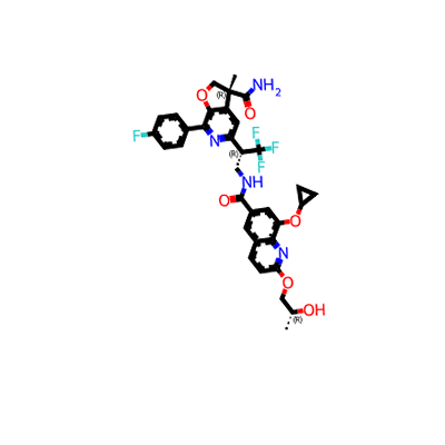 C[C@@H](O)COc1ccc2cc(C(=O)NC[C@H](c3cc4c(c(-c5ccc(F)cc5)n3)OC[C@]4(C)C(N)=O)C(F)(F)F)cc(OC3CC3)c2n1